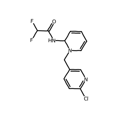 O=C(NC1C=CC=CN1Cc1ccc(Cl)nc1)C(F)F